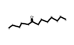 [CH2]CCCCC(=O)CCCCCCC